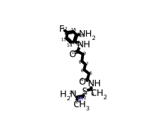 C=C(NC(=O)CCCCCC(=O)Nc1ccc(F)cc1N)S/C=C(/C)N